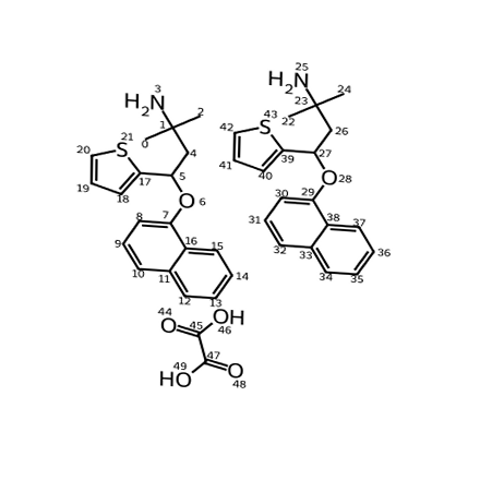 CC(C)(N)CC(Oc1cccc2ccccc12)c1cccs1.CC(C)(N)CC(Oc1cccc2ccccc12)c1cccs1.O=C(O)C(=O)O